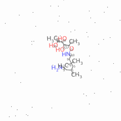 CC(CCN)CC(C)(C)CCNOC(C)C(O)C(O)[C@@H](C)O